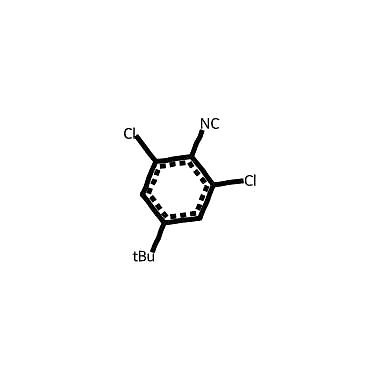 [C-]#[N+]c1c(Cl)cc(C(C)(C)C)cc1Cl